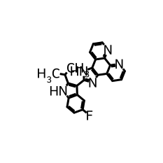 CC(C)c1[nH]c2ccc(F)cc2c1-c1nc2c3cccnc3c3ncccc3c2[nH]1